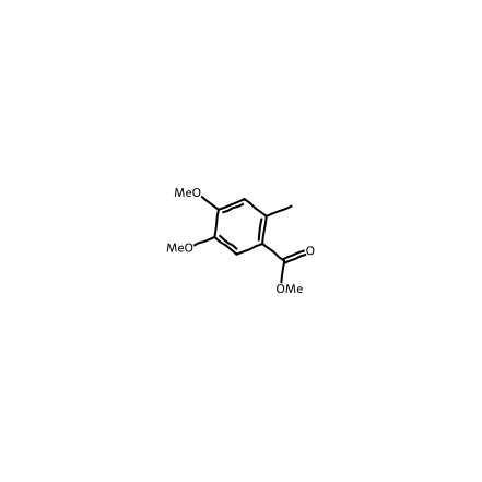 COC(=O)c1cc(OC)c(OC)cc1C